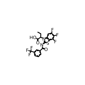 CCC(C(=O)O)n1c(=NC(=O)c2cccc(C(F)(F)F)c2)sc2c(F)c(F)c(F)cc21